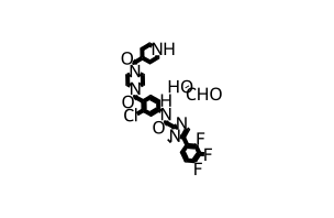 Cn1c(-c2ccc(F)c(F)c2F)cnc1C(=O)Nc1ccc(C(=O)N2CCN(C(=O)C3CCNCC3)CC2)c(Cl)c1.O=CO